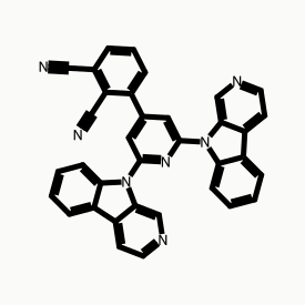 N#Cc1cccc(-c2cc(-n3c4ccccc4c4ccncc43)nc(-n3c4ccccc4c4ccncc43)c2)c1C#N